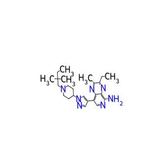 CCc1nc2c(N)ncc(-c3cnn(C4CCN(CC(C)(C)CC)CC4)c3)c2nc1C